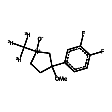 [2H]C([2H])([2H])[N+]1([O-])CCC(OC)(c2ccc(F)c(F)c2)C1